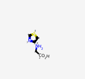 NCC(=O)O.c1cscn1